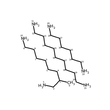 CC(CN)CCCCCCN.NCCCCCCCCCN.NCCCCCCN